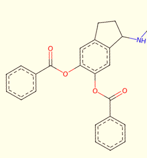 CNC1CCc2cc(OC(=O)c3ccccc3)c(OC(=O)c3ccccc3)cc21